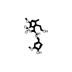 COc1cc(/C=N/NC2=NS(=O)(=O)c3c(OC)cc(C)c(CCO)c32)ccc1O